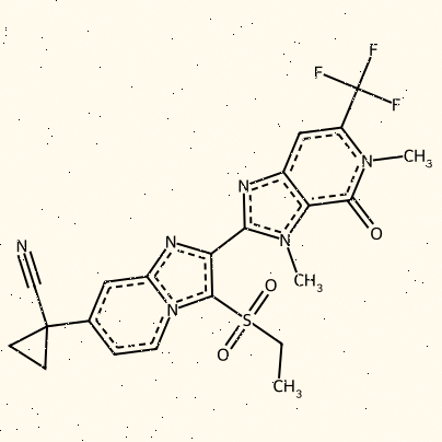 CCS(=O)(=O)c1c(-c2nc3cc(C(F)(F)F)n(C)c(=O)c3n2C)nc2cc(C3(C#N)CC3)ccn12